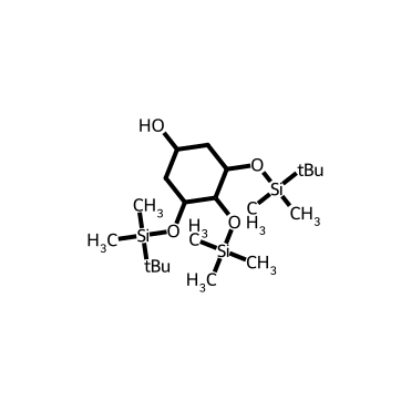 CC(C)(C)[Si](C)(C)OC1CC(O)CC(O[Si](C)(C)C(C)(C)C)C1O[Si](C)(C)C